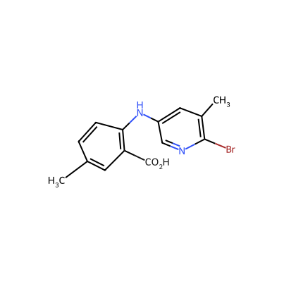 Cc1ccc(Nc2cnc(Br)c(C)c2)c(C(=O)O)c1